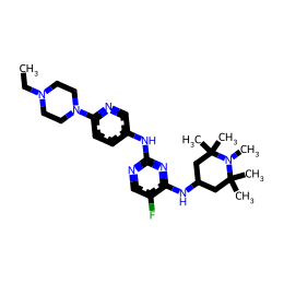 CCN1CCN(c2ccc(Nc3ncc(F)c(NC4CC(C)(C)N(C)C(C)(C)C4)n3)cn2)CC1